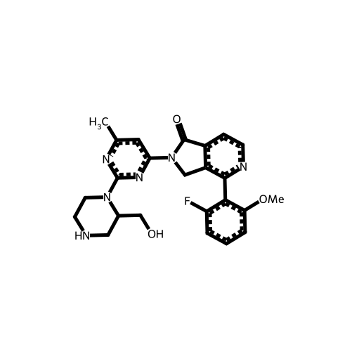 COc1cccc(F)c1-c1nccc2c1CN(c1cc(C)nc(N3CCNCC3CO)n1)C2=O